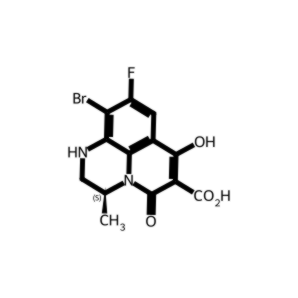 C[C@H]1CNc2c(Br)c(F)cc3c(O)c(C(=O)O)c(=O)n1c23